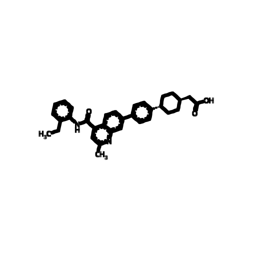 CCc1ccccc1NC(=O)c1cc(C)nc2cc(-c3ccc([C@H]4CC[C@H](CC(=O)O)CC4)cc3)ccc12